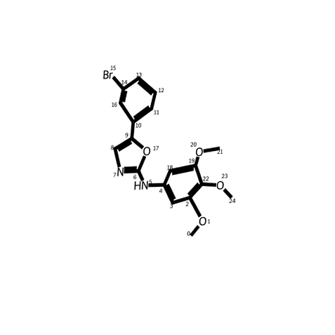 COc1cc(Nc2ncc(-c3cccc(Br)c3)o2)cc(OC)c1OC